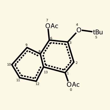 CC(=O)Oc1cc(OC(C)(C)C)c(OC(C)=O)c2ccccc12